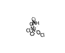 C[C@H]1C(C(=O)NN2CCCCC2)=NN(c2ccccc2Cl)[C@H]1c1ccc(Cl)cc1